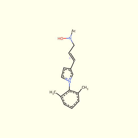 CC(=O)N(O)C/C=C/c1ccn(-c2c(C)cccc2C)c1